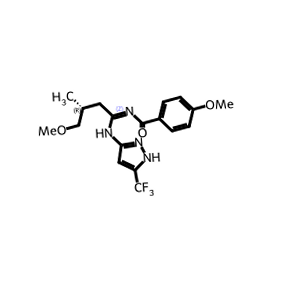 COC[C@H](C)C/C(=N/C(=O)c1ccc(OC)cc1)Nc1cc(C(F)(F)F)[nH]n1